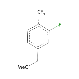 COCc1ccc(C(F)(F)F)c(F)c1